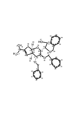 CN(C)C1=N[C@@H]2[C@@H](OCc3ccccc3)[C@H](OCc3ccccc3)[C@@H](C(CO)OCc3ccccc3)O[C@@H]2S1